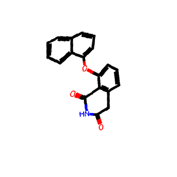 O=C1Cc2cccc(Oc3cccc4ccccc34)c2C(=O)N1